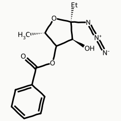 CC[C@@]1(N=[N+]=[N-])O[C@@H](C)C(OC(=O)c2ccccc2)[C@@H]1O